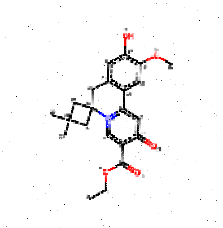 CCOC(=O)c1cn2c(cc1=O)-c1cc(OC)c(O)cc1CC21CC(C)(C)C1